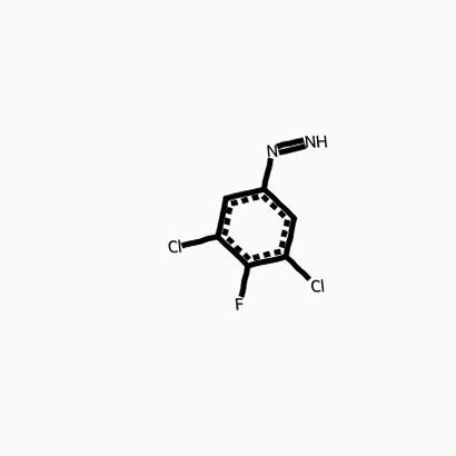 N=Nc1cc(Cl)c(F)c(Cl)c1